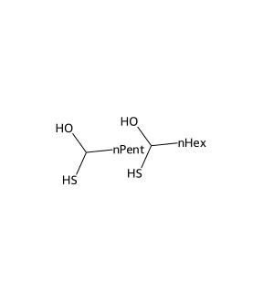 CCCCCC(O)S.CCCCCCC(O)S